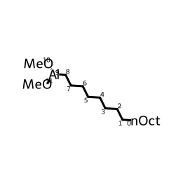 CCCCCCCCCCCCCCC[CH2][Al]([O]C)[O]C